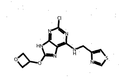 Clc1nc(NCc2cscn2)c2nc(OC3COC3)[nH]c2n1